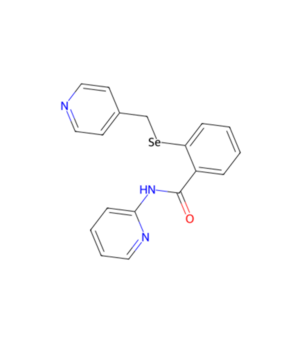 O=C(Nc1ccccn1)c1ccccc1[Se]Cc1ccncc1